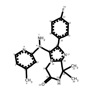 Cc1ccnc(N(N)c2c(-c3ccc(F)cc3)nc3n2CC(=O)NC3(C)C)c1